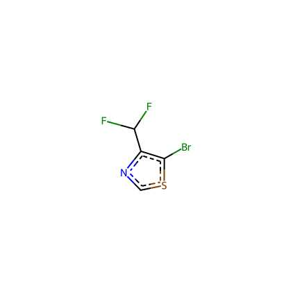 FC(F)c1ncsc1Br